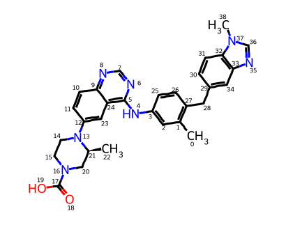 Cc1cc(Nc2ncnc3ccc(N4CCN(C(=O)O)C[C@@H]4C)cc23)ccc1Cc1ccc2c(c1)ncn2C